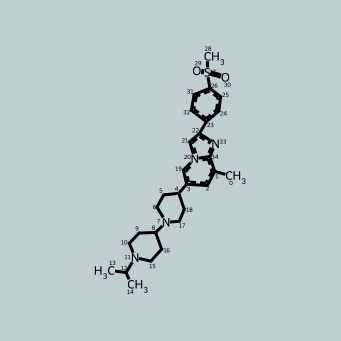 Cc1cc(C2CCN(C3CCN(C(C)C)CC3)CC2)cn2cc(-c3ccc(S(C)(=O)=O)cc3)nc12